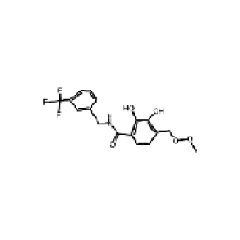 COOCc1ccc(C(=O)NCc2cccc(C(F)(F)F)c2)c(O)c1O